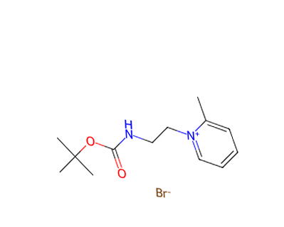 Cc1cccc[n+]1CCNC(=O)OC(C)(C)C.[Br-]